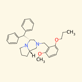 CCCOc1cccc(OC)c1CN1C[C@@H]2CCCN2[C@H](C(c2ccccc2)c2ccccc2)C1